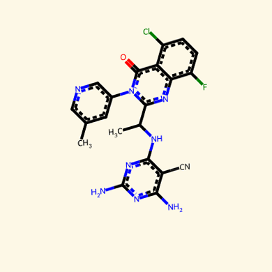 Cc1cncc(-n2c(C(C)Nc3nc(N)nc(N)c3C#N)nc3c(F)ccc(Cl)c3c2=O)c1